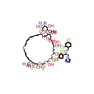 C[C@@H]1[C@H](O)[C@@H](C)/C=C/C=C/CC/C=C/C=C/C=C/C=C/[C@H](O[C@@H]2O[C@H](C)[C@@H](O)[C@H](N)[C@@H]2O)C[C@@H]2O[C@](O)(C[C@@H](O)[C@H](O)CC[C@@H](O)C[C@@H](O)C[C@@H](O)CC(=O)O[C@H]1C)C[C@H](O)[C@H]2C(=O)O.Clc1ccc(COC(Cn2ccnc2)c2ccc(Cl)cc2Cl)c(Cl)c1